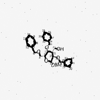 CO[C@H]1O[C@H](COCc2ccccc2)[C@H](OCc2ccccc2)[C@H](CO)[C@H]1OCc1ccccc1